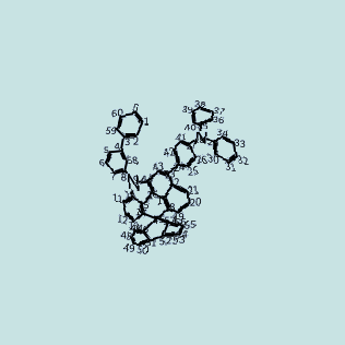 c1ccc(-c2cccc(-n3c4cccc5c4c4c6c(cccc6c(-c6ccc(N(c7ccccc7)c7ccccc7)cc6)cc43)C53c4ccccc4-c4ccccc43)c2)cc1